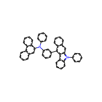 c1ccc(N(c2cccc(-c3c4ccccc4cc4c3c3ccccc3n4-c3ccccc3)c2)c2cc3ccccc3c3ccccc23)cc1